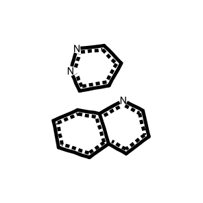 c1ccc2ncccc2c1.c1ccnnc1